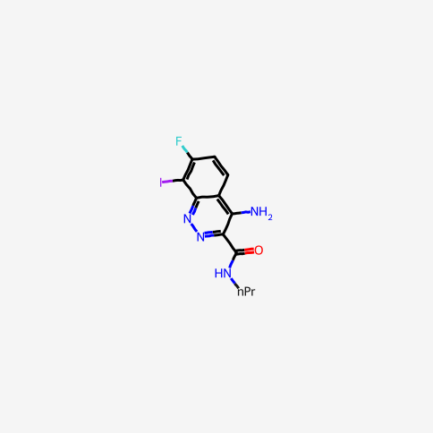 CCCNC(=O)c1nnc2c(I)c(F)ccc2c1N